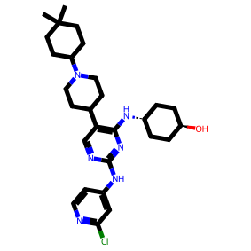 CC1(C)CCC(N2CCC(c3cnc(Nc4ccnc(Cl)c4)nc3N[C@H]3CC[C@H](O)CC3)CC2)CC1